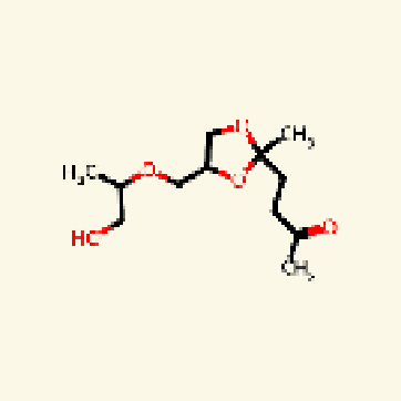 CC(=O)CCC1(C)OCC(COC(C)CO)O1